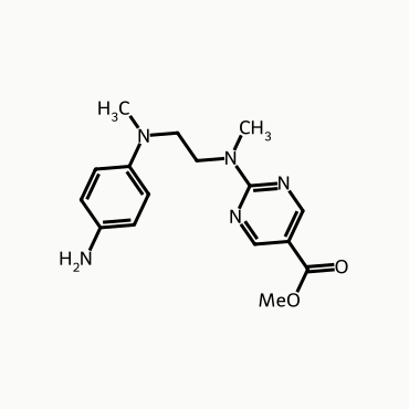 COC(=O)c1cnc(N(C)CCN(C)c2ccc(N)cc2)nc1